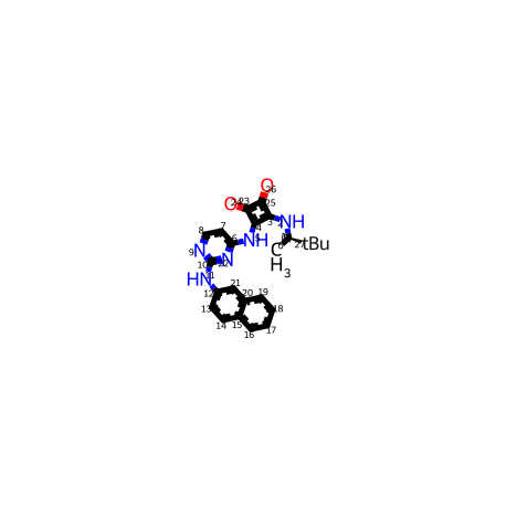 C[C@@H](Nc1c(Nc2ccnc(Nc3ccc4ccccc4c3)n2)c(=O)c1=O)C(C)(C)C